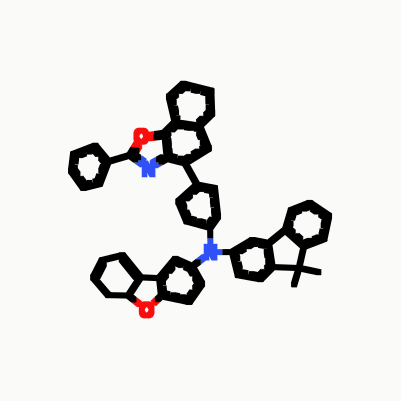 CC1(C)c2ccccc2-c2cc(N(c3ccc(-c4cc5ccccc5c5oc(-c6ccccc6)nc45)cc3)c3ccc4c(c3)C3=CC=CCC3O4)ccc21